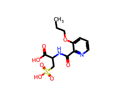 CCCOc1cccnc1C(=O)NC(CS(=O)(=O)O)C(=O)O